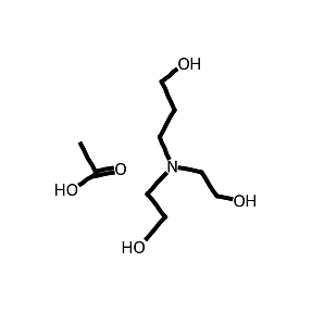 CC(=O)O.OCCCN(CCO)CCO